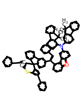 CC1(C)c2ccccc2-c2ccc(N(c3ccc4oc5cccc(/C(=C/c6ccccc6)c6ccc7c(c6)-c6ccccc6C76c7ccc(-c8ccccc8)cc7Sc7cc(-c8ccccc8)ccc76)c5c4c3)c3cccc4c3C(C)(C)c3ccccc3-4)cc21